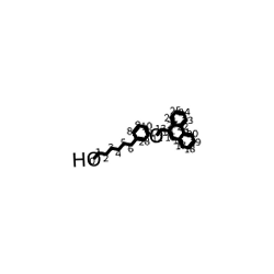 OCCCCCCc1cccc(OCc2cc3ccccc3c3ccccc23)c1